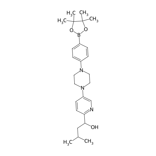 CC(C)CC(O)c1ccc(N2CCN(c3ccc(B4OC(C)(C)C(C)(C)O4)cc3)CC2)cn1